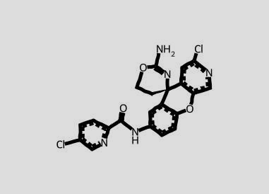 NC1=N[C@@]2(CCO1)c1cc(NC(=O)c3ccc(Cl)cn3)ccc1Oc1cnc(Cl)cc12